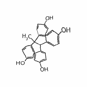 CC(c1ccc(O)cc1)(c1ccc(O)cc1)C(c1ccc(O)cc1)c1ccc(O)cc1